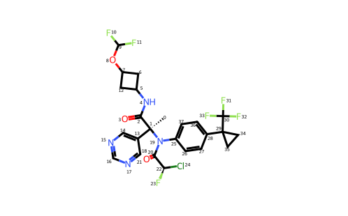 C[C@@](C(=O)NC1CC(OC(F)F)C1)(c1cncnc1)N(C(=O)[C@H](F)Cl)c1ccc(C2(C(F)(F)F)CC2)cc1